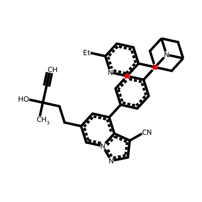 C#CC(C)(O)CCc1cc(-c2ccc(N3CC4CC(C3)N4Cc3ccc(CC)nc3)nc2)c2c(C#N)cnn2c1